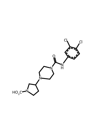 O=C(O)N1CCC(N2CCN(C(=O)Nc3ccc(Cl)c(Cl)c3)CC2)C1